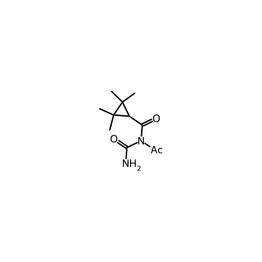 CC(=O)N(C(N)=O)C(=O)C1C(C)(C)C1(C)C